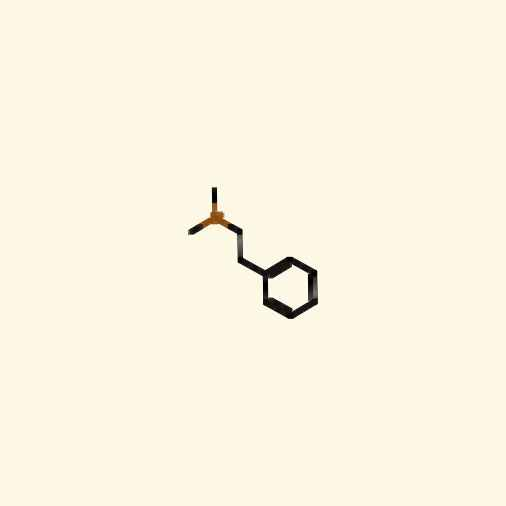 C[S+](C)CCc1ccccc1